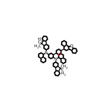 CC1(C)c2ccccc2-c2ccc(N(c3ccc(N(c4ccc5c(c4)C(C)(C)c4ccccc4-5)c4cccc5ccccc45)c(-c4ccc(-c5cc6c7ccccc7oc6c6ccccc56)cc4)c3)c3cccc4ccccc34)cc21